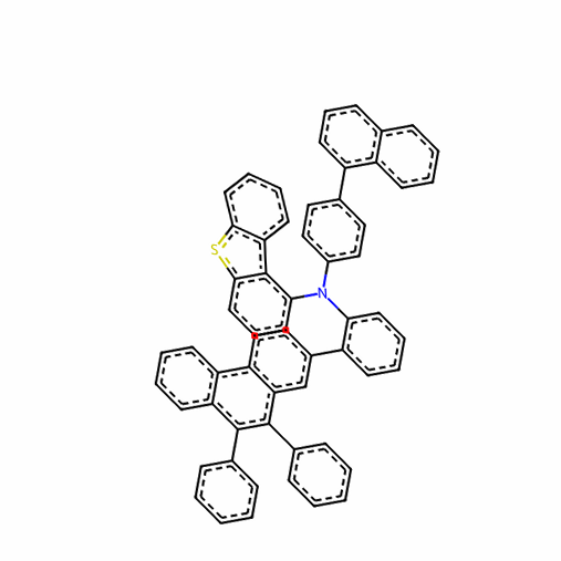 c1ccc(-c2c(-c3ccccc3)c3cc(-c4ccccc4N(c4ccc(-c5cccc6ccccc56)cc4)c4cccc5sc6ccccc6c45)ccc3c3ccccc23)cc1